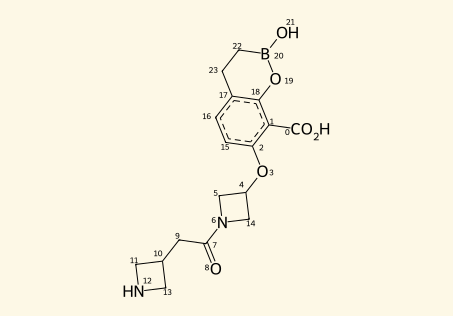 O=C(O)c1c(OC2CN(C(=O)CC3CNC3)C2)ccc2c1OB(O)CC2